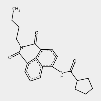 CCCCN1C(=O)c2cccc3c(NC(=O)C4CCCC4)ccc(c23)C1=O